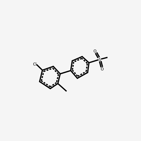 Cc1ccc(Cl)cc1-c1ccc(S(C)(=O)=O)cc1